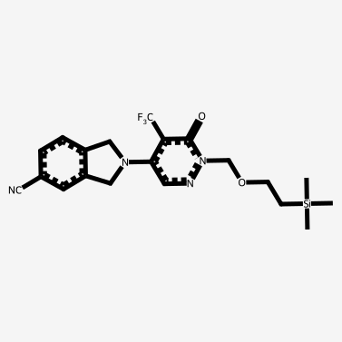 C[Si](C)(C)CCOCn1ncc(N2Cc3ccc(C#N)cc3C2)c(C(F)(F)F)c1=O